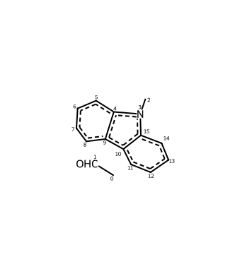 CC=O.Cn1c2ccccc2c2ccccc21